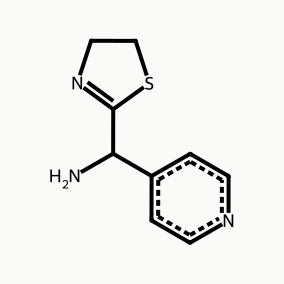 NC(C1=NCCS1)c1ccncc1